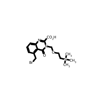 C[Si](C)(C)CCOCn1c(C(=O)O)nc2cccc(CBr)c2c1=O